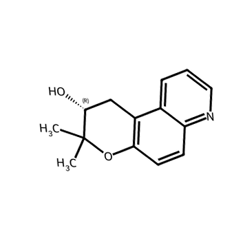 CC1(C)Oc2ccc3ncccc3c2C[C@H]1O